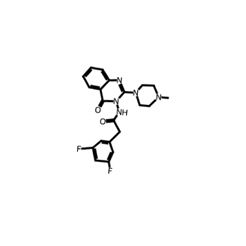 CN1CCN(c2nc3ccccc3c(=O)n2NC(=O)Cc2cc(F)cc(F)c2)CC1